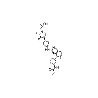 C=CC(=O)Nc1cccc(-c2c(C)ccc3cnc(Nc4ccc(N5CCN(CC(C)(C)O)C(F)C5F)cc4)nc23)c1